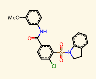 COc1cccc(NC(=O)c2ccc(Cl)c(S(=O)(=O)N3CCc4ccccc43)c2)c1